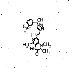 Cc1nc(NCc2cn(C(C)c3cccc(C(F)(F)F)c3)nn2)cc2c1NC(=O)[C@H](C)N2C